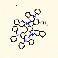 Cc1cc2c3c(c1)N(c1ccccc1)c1ccccc1B3n1c3cc4ccccc4cc3c3c4c5c(c-2c31)c1cc2ccccc2cc1n5B1c2ccccc2N(c2ccccc2)c2cc(N(c3ccccc3)c3ccccc3)cc-4c21